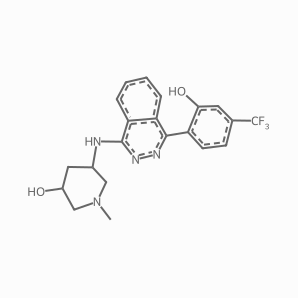 CN1CC(O)CC(Nc2nnc(-c3ccc(C(F)(F)F)cc3O)c3ccccc23)C1